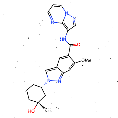 COc1cc2nn([C@H]3CCC[C@@](C)(O)C3)cc2cc1C(=O)Nc1cnn2cccnc12